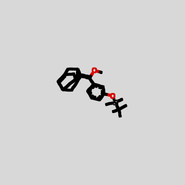 COC(=C1C2CC3=CC(C2)CC1C3)c1cccc(O[Si](C)(C)C(C)(C)C)c1